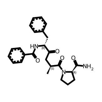 C[C@@H](CC(=O)[C@@H](Cc1ccccc1)NC(=O)c1ccccc1)C(=O)N1CCC[C@@H]1C(N)=O